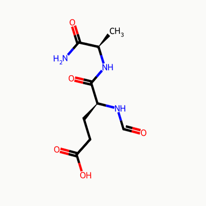 C[C@@H](NC(=O)[C@H](CCC(=O)O)NC=O)C(N)=O